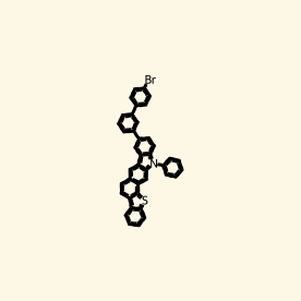 Brc1ccc(-c2cccc(-c3ccc4c(c3)c3cc5ccc6c7ccccc7sc6c5cc3n4-c3ccccc3)c2)cc1